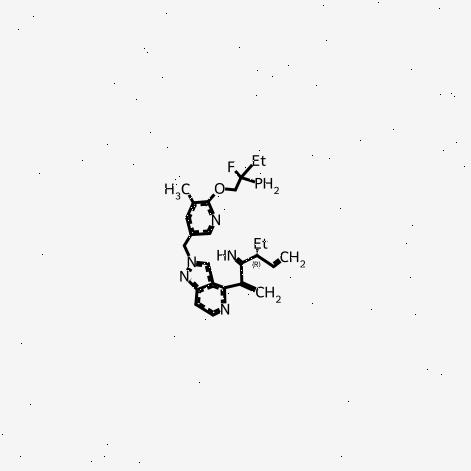 C=C[C@@H](CC)C(=N)C(=C)c1nccc2nn(Cc3cnc(OCC(F)(P)CC)c(C)c3)cc12